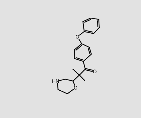 CC(C)(C(=O)c1ccc(Oc2ccccc2)cc1)C1CNCCO1